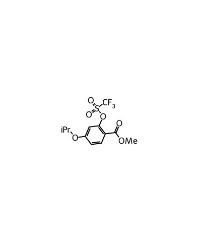 COC(=O)c1ccc(OC(C)C)cc1OS(=O)(=O)C(F)(F)F